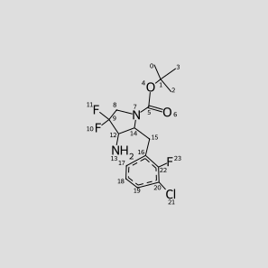 CC(C)(C)OC(=O)N1CC(F)(F)C(N)C1Cc1cccc(Cl)c1F